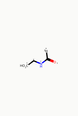 [2H]C(=O)NCC(=O)O